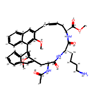 COC(=O)[C@@H]1CC=CCc2cc3ccccc3c(c2OC)-c2c(OC)c(cc3ccccc23)CC(NC(C)=O)C(=O)N[C@@H](CCCCN)C(=O)N1